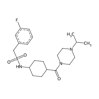 CC(C)N1CCN(C(=O)C2CCC(NS(=O)(=O)Cc3cccc(F)c3)CC2)CC1